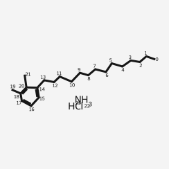 CCCCCCCCCCCCCCc1cccc(C)c1C.Cl.N